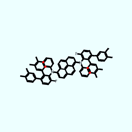 Cc1ccc(-c2ccc(F)c(N(c3ccccc3)c3ccc4ccc5c(N(c6ccccc6)c6c(F)ccc(-c7ccc(C)c(C)c7)c6-c6ccc(C)c(C)c6)ccc6ccc3c4c65)c2-c2ccc(C)c(C)c2)cc1C